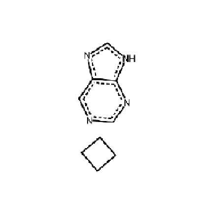 C1CCC1.c1ncc2nc[nH]c2n1